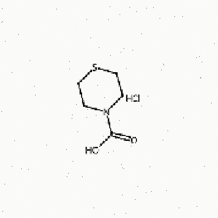 Cl.O=C(O)N1CCSCC1